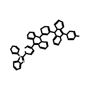 C/C=C(\C=C/C(C)c1nc2ccccc2n1C1=CCCC=C1)C1=C2C=CC=CC2C(C2=CC(C3C4=CC=CCC4C(C4C=CC(C)=CC4)=C4C=CC=CC43)=CCC2)C2=CCCC=C21